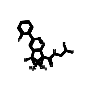 CC1(C)[C@@H]2CCC1(C(=O)NCC(F)F)c1nnc(-c3ccccc3F)cc12